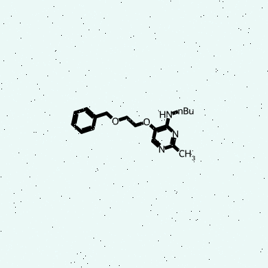 CCCCNc1nc(C)ncc1OCCOCc1ccccc1